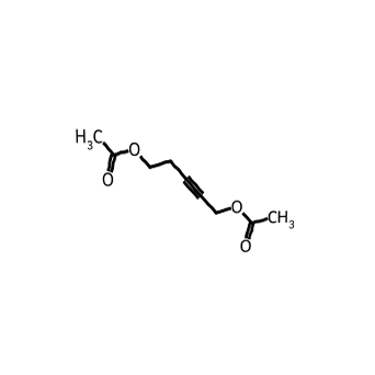 CC(=O)OCC#CCCOC(C)=O